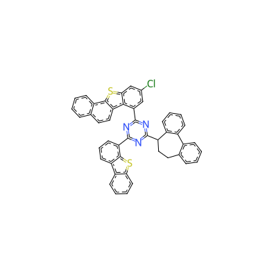 Clc1cc(-c2nc(-c3cccc4c3sc3ccccc34)nc(C3CCc4ccccc4-c4ccccc43)n2)c2c(c1)sc1c3ccccc3ccc12